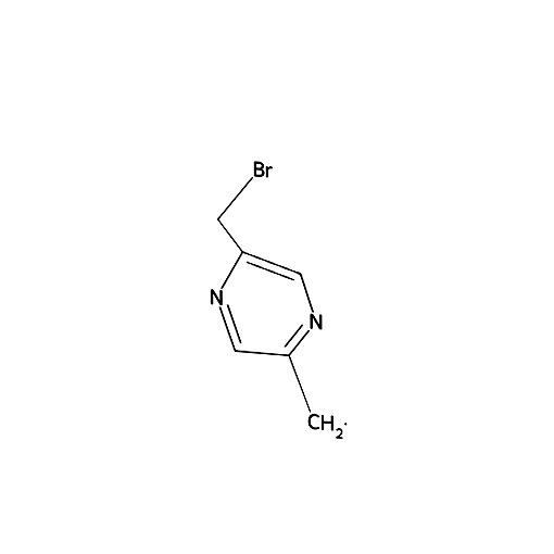 [CH2]c1cnc(CBr)cn1